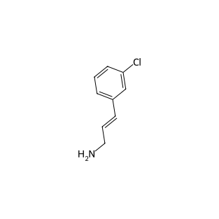 NCC=Cc1cccc(Cl)c1